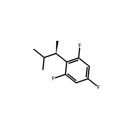 CC(C)[C@@H](C)c1c(F)cc(F)cc1F